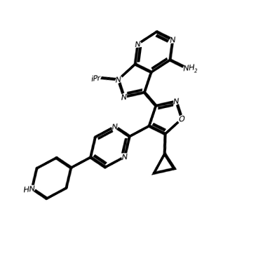 CC(C)n1nc(-c2noc(C3CC3)c2-c2ncc(C3CCNCC3)cn2)c2c(N)ncnc21